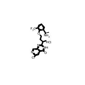 CC(CCOc1c([C@@H](C)N)cccc1C(F)(F)F)c1nc2cnc(Cl)cc2c(=O)[nH]1.Cl